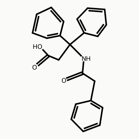 O=C(O)CC(NC(=O)Cc1ccccc1)(c1ccccc1)c1ccccc1